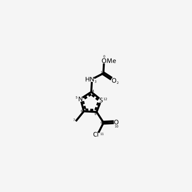 COC(=O)Nc1nc(C)c(C(=O)Cl)s1